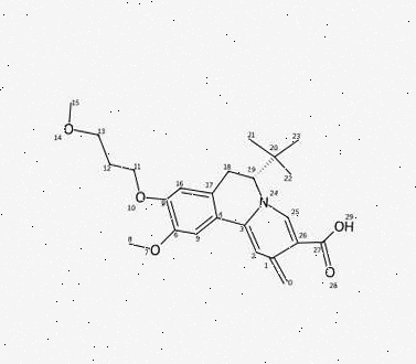 C=C1C=C2c3cc(OC)c(OCCCOC)cc3C[C@H](C(C)(C)C)N2C=C1C(=O)O